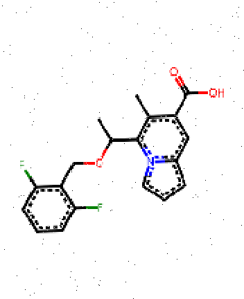 Cc1c(C(=O)O)cc2cccn2c1C(C)OCc1c(F)cccc1F